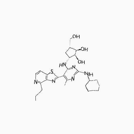 CCCc1nccc2sc(-c3c(C)nc(NC4CCCCC4)nc3N[C@@H]3C[C@H](CO)[C@@H](O)[C@H]3O)nc12